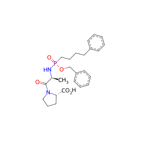 C[C@H](NP(=O)(CCCCc1ccccc1)OCc1ccccc1)C(=O)N1CCC[C@H]1C(=O)O